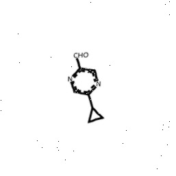 O=Cc1cnc(C2CC2)cn1